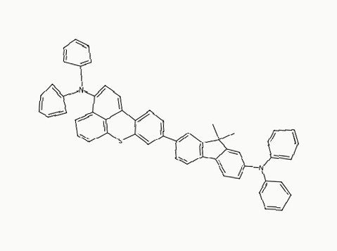 CC1(C)c2cc(-c3ccc4c(c3)Sc3cccc5c(N(c6ccccc6)c6ccccc6)ccc-4c35)ccc2-c2ccc(N(c3ccccc3)c3ccccc3)cc21